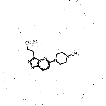 CCOC(=O)CCc1nnc2ccc(N3CCN(C)CC3)nn12